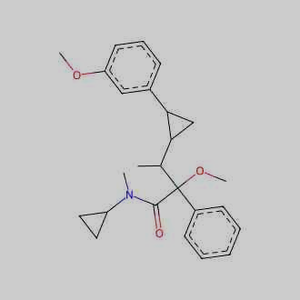 COc1cccc(C2CC2C(C)C(OC)(C(=O)N(C)C2CC2)c2ccccc2)c1